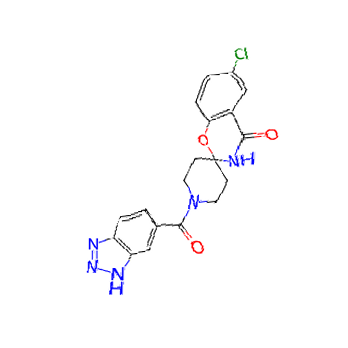 O=C1NC2(CCN(C(=O)c3ccc4nn[nH]c4c3)CC2)Oc2ccc(Cl)cc21